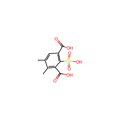 Cc1cc(C(=O)O)c(S(=O)(=O)O)c(C(=O)O)c1C